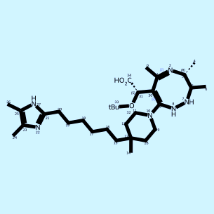 CC1=N/[C@H](C)C(C)NN/C(N2CCC(C)(CCCCCCc3nc(C)c(C)[nH]3)CC2)=C\1[C@H](OC(C)(C)C)C(=O)O